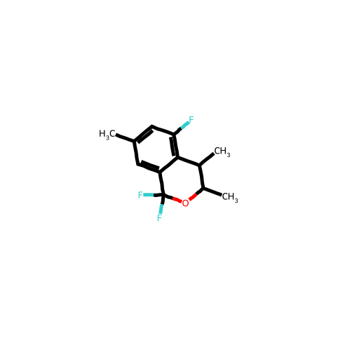 Cc1cc(F)c2c(c1)C(F)(F)OC(C)C2C